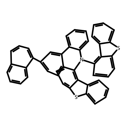 c1cc(-c2ccccc2N(c2cccc3sc4ccccc4c23)c2cccc3sc4ccccc4c23)cc(-c2cccc3ccccc23)c1